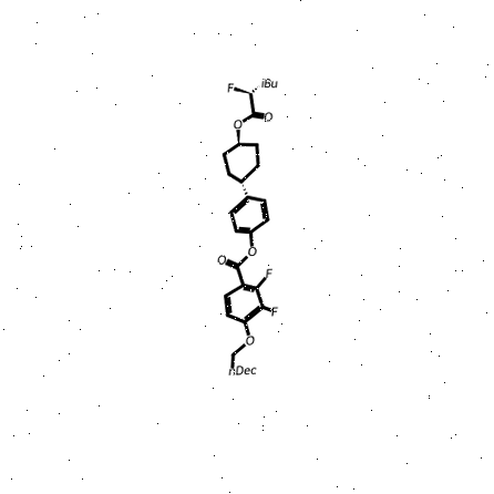 CCCCCCCCCCCOc1ccc(C(=O)Oc2ccc([C@H]3CC[C@H](OC(=O)[C@@H](F)[C@@H](C)CC)CC3)cc2)c(F)c1F